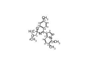 COCC1(C)N=C(c2cnn3c(C)c(C)ccc23)c2ccc(C)cc2O1